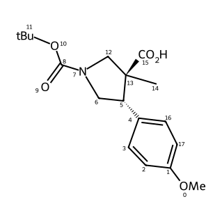 COc1ccc([C@@H]2CN(C(=O)OC(C)(C)C)C[C@@]2(C)C(=O)O)cc1